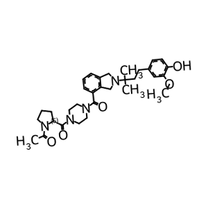 COc1cc(CCC(C)(C)N2Cc3cccc(C(=O)N4CCN(C(=O)[C@@H]5CCCN5C(C)=O)CC4)c3C2)ccc1O